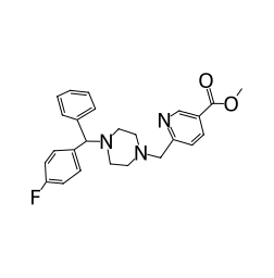 COC(=O)c1ccc(CN2CCN(C(c3ccccc3)c3ccc(F)cc3)CC2)nc1